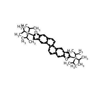 CC(C)[Si](c1cc2cc3c(ccc4c5cc6cc([Si](C(C)C)(C(C)C)C(C)C)oc6cc5ccc34)cc2o1)(C(C)C)C(C)C